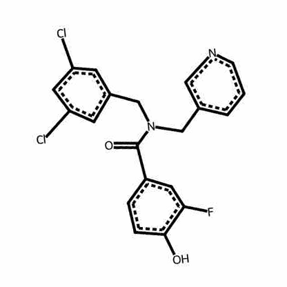 O=C(c1ccc(O)c(F)c1)N(Cc1cccnc1)Cc1cc(Cl)cc(Cl)c1